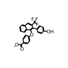 COC(=O)c1ccc(Oc2c(-c3ccc(O)cc3)c(C(F)(F)F)cc3ccccc23)cc1